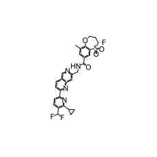 Cc1cc(C(=O)NCc2cc3nc(-c4ccc(C(F)F)c(C5CC5)n4)ccc3cn2)cc2c1OCC[C@H](F)S2(=O)=O